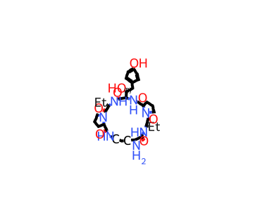 CCC1NC(=O)C(N)CCCNC(=O)C2CCCN2C(=O)C(CC)NC(=O)C([C@H](O)Cc2ccc(O)cc2)NC(=O)C2CCCN2C1=O